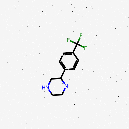 FC(F)(F)c1ccc(C2CNCC[N]2)cc1